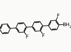 Bc1ccc(-c2ccc(-c3ccc(-c4ccccc4)cc3F)cc2F)cc1F